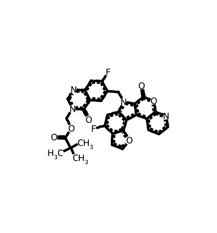 CC(C)(C)C(=O)OCn1cnc2cc(F)c(Cn3c4cc(F)c5ccoc5c4c4c5cccnc5oc(=O)c43)cc2c1=O